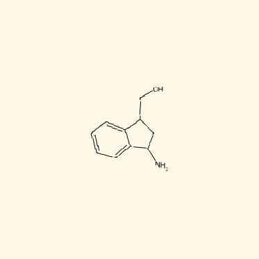 NC1CC(CO)c2ccccc21